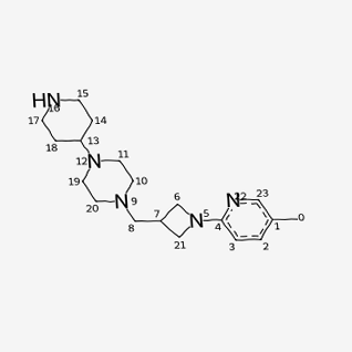 Cc1ccc(N2CC(CN3CCN(C4CCNCC4)CC3)C2)nc1